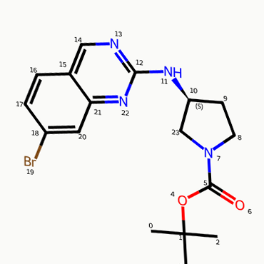 CC(C)(C)OC(=O)N1CC[C@H](Nc2ncc3ccc(Br)cc3n2)C1